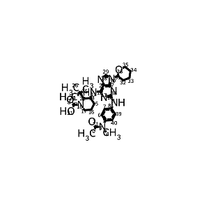 CC(=O)N(C)c1ccc(Nc2nc(NC3CCCN(C(=O)O)C3C(C)(C)C)c3ncn(C4CCCCO4)c3n2)cc1